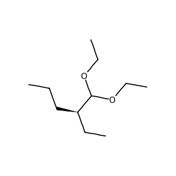 CCC[C@H](CC)C(OCC)OCC